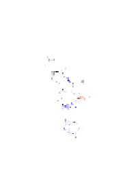 Cc1c2c(=O)n(Cc3ccn(C)n3)ncc2c2sc(CCl)cn12